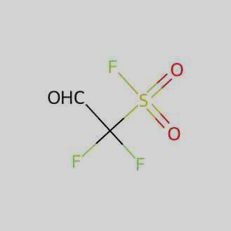 O=CC(F)(F)S(=O)(=O)F